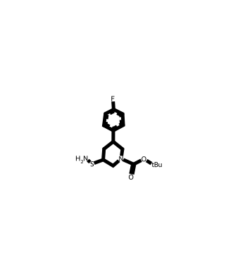 CC(C)(C)OC(=O)N1CC(SN)CC(c2ccc(F)cc2)C1